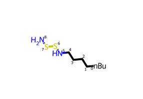 CCCCCCCCNSSN